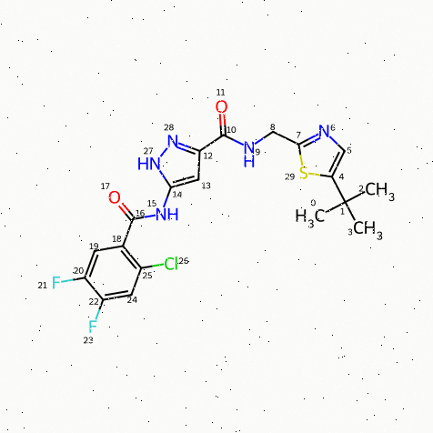 CC(C)(C)c1cnc(CNC(=O)c2cc(NC(=O)c3cc(F)c(F)cc3Cl)[nH]n2)s1